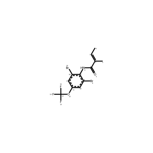 CC=C(C)C(=O)Nc1c(Br)cc(OC(F)(F)F)cc1Br